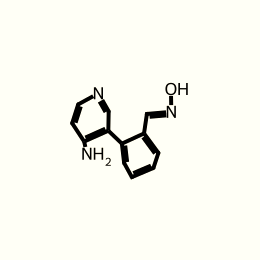 Nc1ccncc1-c1ccccc1C=NO